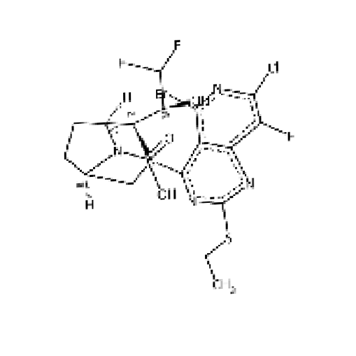 CCSc1nc(N2C[C@H]3CC[C@@H]([C@H]2[C@H](O)C(F)F)N3C(=O)O)c2c(Br)nc(Cl)c(F)c2n1